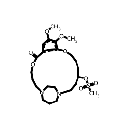 COc1cc2cc(c1OC)OCCCC(OS(C)(=O)=O)CCN1CCCN(CCCOC2=O)CC1